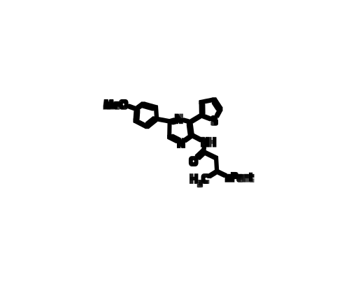 CCCCCC(C)CC(=O)Nc1ncc(-c2ccc(OC)cc2)nc1-c1cccs1